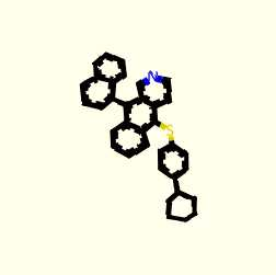 c1ccc2c(-c3c4ccccc4c(Sc4ccc(C5CCCCC5)cc4)c4ccncc34)cccc2c1